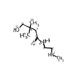 CNCCNC(=O)CC(C)(C)CO